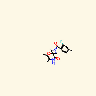 CC1=C(C)OC2(CN(C(=O)c3ccc(C)cc3F)C2)C(=O)N1